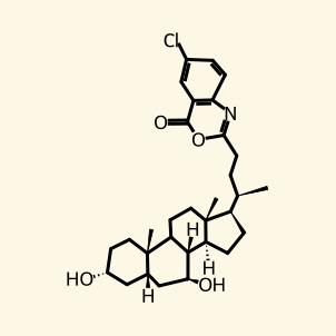 C[C@H](CCc1nc2ccc(Cl)cc2c(=O)o1)[C@H]1CC[C@H]2[C@H]3C(CC[C@]12C)[C@@]1(C)CC[C@@H](O)C[C@H]1C[C@@H]3O